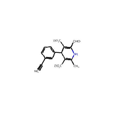 C#Cc1cccc(C2C(C(=O)OCC)=C(C)NC(C=O)=C2C(=O)OCC)c1